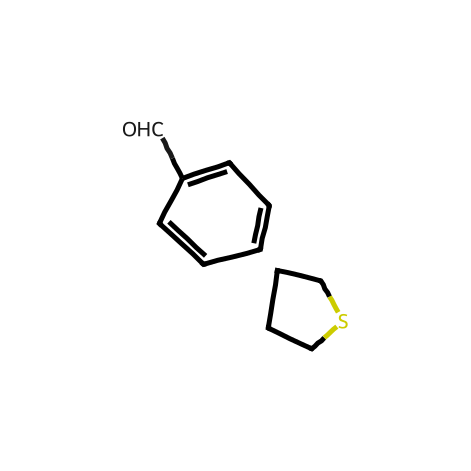 C1CCSC1.O=Cc1ccccc1